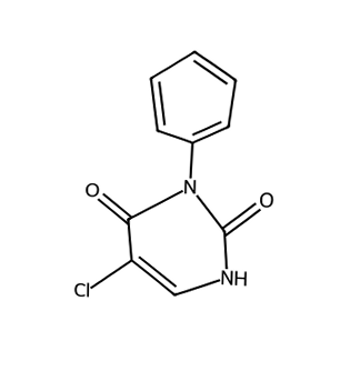 O=c1[nH]cc(Cl)c(=O)n1-c1ccccc1